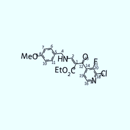 CCOC(=O)/C(=C\NCc1ccc(OC)cc1)C(=O)c1ccnc(Cl)c1F